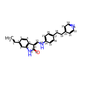 C=Cc1ccc2c(c1)NC(=O)C2=CNc1ccc(CCc2ccncc2)cc1